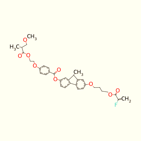 C=C(F)C(=O)OCCCCOc1ccc2c(c1)C(C)c1cc(OC(=O)c3ccc(OCCOC(=O)C(C)COC)cc3)ccc1-2